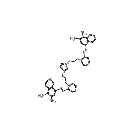 Nc1cc(/N=N/c2cccc[n+]2CCCn2cc[n+](CCC[n+]3ccccc3/N=N/c3cc(N)c(N)c4ccccc34)c2)c2ccccc2c1N